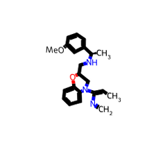 C=N/C(=C\C)N1CC(CN[C@H](C)c2cccc(OC)c2)Oc2ccccc21